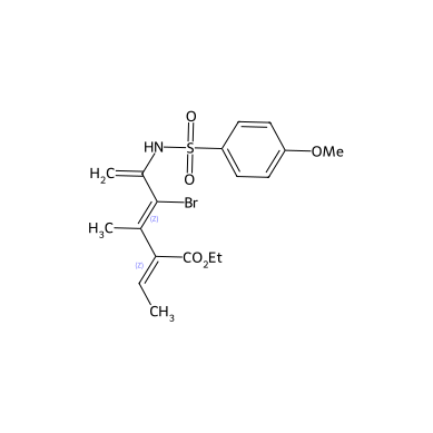 C=C(NS(=O)(=O)c1ccc(OC)cc1)/C(Br)=C(C)/C(=C/C)C(=O)OCC